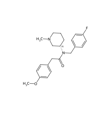 COc1ccc(CC(=O)N(Cc2ccc(F)cc2)[C@H]2CCCN(C)C2)cc1